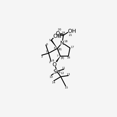 CC(C)(C)[C@@]1(CO)[C@H](O[Si](C)(C)C(C)(C)C)CCN1C(=O)O